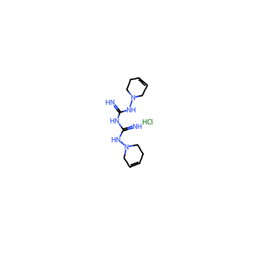 Cl.N=C(NC(=N)NN1CC=CCC1)NN1CC=CCC1